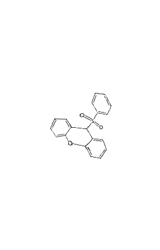 O=S(=O)(c1ccccc1)C1c2ccccc2Oc2ccccc21